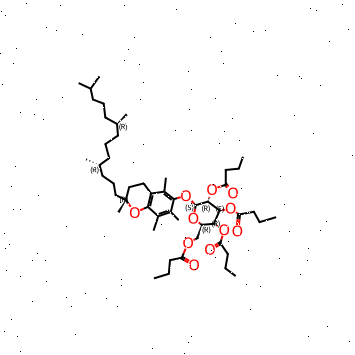 CCCC(=O)OC[C@H]1O[C@@H](Oc2c(C)c(C)c3c(c2C)CC[C@@](C)(CCC[C@H](C)CCC[C@H](C)CCCC(C)C)O3)[C@H](OC(=O)CCC)[C@@H](OC(=O)CCC)[C@@H]1OC(=O)CCC